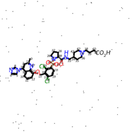 Cc1cc(-n2ccnc2)c2cccc(OCc3c(Cl)ccc(S(=O)(=O)N4CCC[C@H]4C(=O)NCC4CCN(CCCC(=O)O)CC4)c3Cl)c2n1